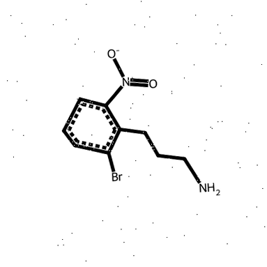 NCCCc1c(Br)cccc1[N+](=O)[O-]